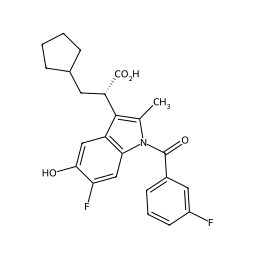 Cc1c([C@H](CC2CCCC2)C(=O)O)c2cc(O)c(F)cc2n1C(=O)c1cccc(F)c1